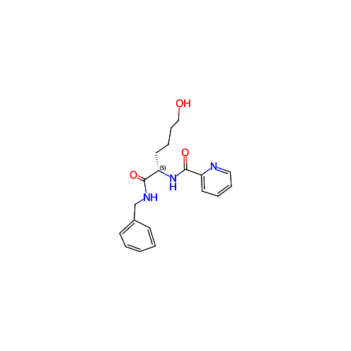 O=C(N[C@@H](CCCCO)C(=O)NCc1ccccc1)c1ccccn1